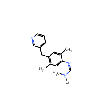 CCN(C)/C=N\c1cc(C)c(Cc2cccnc2)cc1C